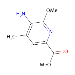 COC(=O)c1cc(C)c(N)c(OC)n1